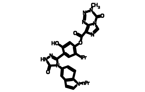 CCCn1ccc2cc(-n3c(-c4cc(C(C)C)c(OC(=O)c5ncn6c(=O)n(C)nnc56)cc4O)n[nH]c3=O)ccc21